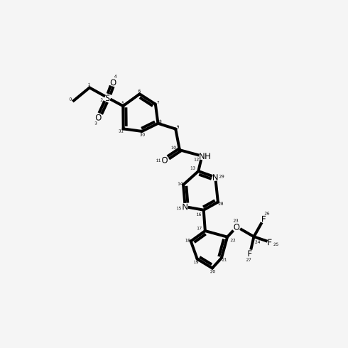 CCS(=O)(=O)c1ccc(CC(=O)Nc2cnc(-c3ccccc3OC(F)(F)F)cn2)cc1